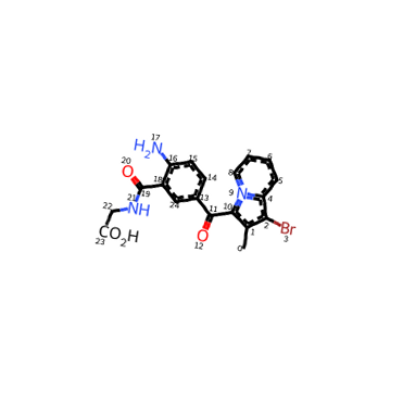 Cc1c(Br)c2ccccn2c1C(=O)c1ccc(N)c(C(=O)NCC(=O)O)c1